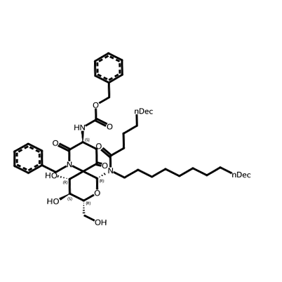 CCCCCCCCCCCCCCCCCCN(C(=O)CCCCCCCCCCCCC)[C@@H]1O[C@H](CO)[C@@H](O)[C@H](O)C12C(=O)C[C@H](NC(=O)OCc1ccccc1)C(=O)N2Cc1ccccc1